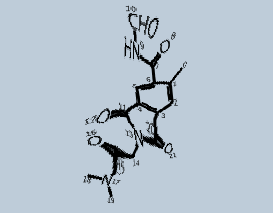 Cc1cc2c(cc1C(=O)NC=O)C(=O)N(CC(=O)N(C)C)C2=O